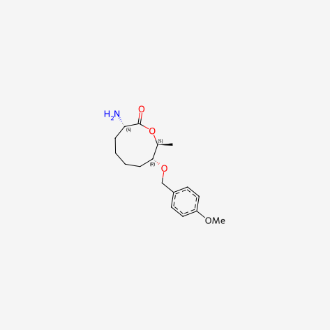 COc1ccc(CO[C@@H]2CCCC[C@H](N)C(=O)O[C@H]2C)cc1